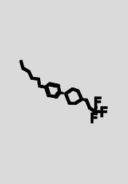 CCCCCCc1ccc([C@H]2CC[C@H](CCC(F)(F)F)CC2)cc1